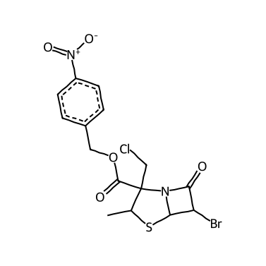 CC1SC2C(Br)C(=O)N2C1(CCl)C(=O)OCc1ccc([N+](=O)[O-])cc1